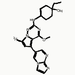 [2H]c1cc(-c2cnc3nccn3c2)c2c(OC)nc(NC3CCC(O)(CC)CC3)nn12